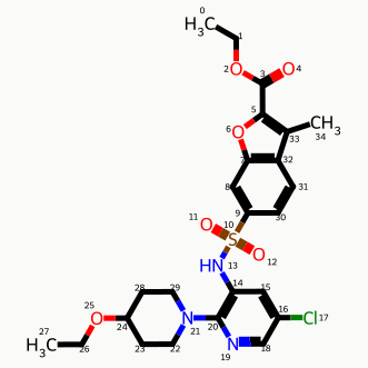 CCOC(=O)c1oc2cc(S(=O)(=O)Nc3cc(Cl)cnc3N3CCC(OCC)CC3)ccc2c1C